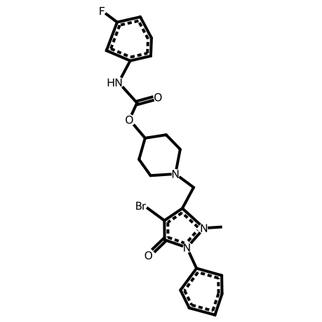 Cn1c(CN2CCC(OC(=O)Nc3cccc(F)c3)CC2)c(Br)c(=O)n1-c1ccccc1